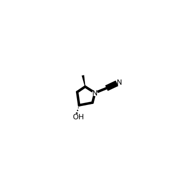 C[C@@H]1C[C@@H](O)CN1C#N